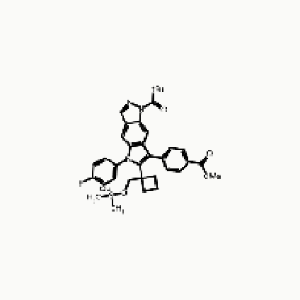 COC(=O)c1ccc(-c2c(C3(CO[Si](C)(C)C(C)(C)C)CCC3)n(-c3ccc(F)cc3)c3cc4cnn(C(=O)C(C)(C)C)c4cc23)cc1